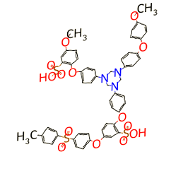 COc1ccc(Oc2ccc(N3CN(c4ccc(Oc5ccc(OC)cc5S(=O)(=O)O)cc4)CN(c4ccc(Oc5ccc(Oc6ccc(S(=O)(=O)c7ccc(C)cc7)cc6)cc5S(=O)(=O)O)cc4)C3)cc2)cc1